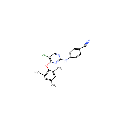 Cc1cc(C)c(Oc2nc(Nc3ccc(C#N)cc3)ncc2Cl)c(C)c1